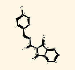 O=C(C=Cc1ccc(O)cc1)C1C(=O)c2ccccc2C1=O